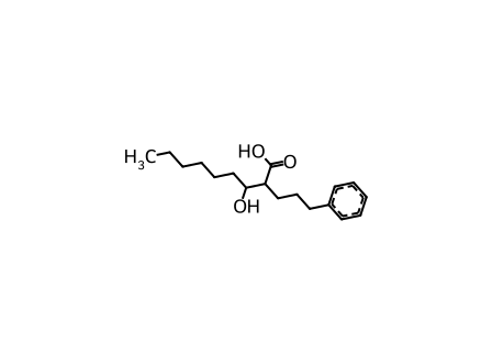 CCCCCCC(O)C(CCCc1ccccc1)C(=O)O